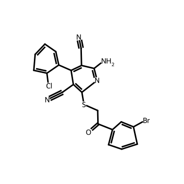 N#Cc1c(N)nc(SCC(=O)c2cccc(Br)c2)c(C#N)c1-c1ccccc1Cl